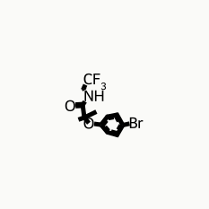 CC(C)(Oc1ccc(Br)cc1)C(=O)NCC(F)(F)F